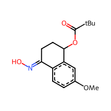 COc1ccc2c(c1)C(OC(=O)C(C)(C)C)CC/C2=N\O